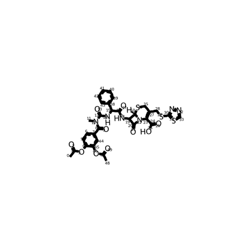 CC(=O)Oc1ccc(C(=O)N(C)C(=O)NC(C(=O)NC2C(=O)N3C(C(=O)O)=C(CSc4nncs4)CS[C@@H]23)c2ccccc2)cc1OC(C)=O